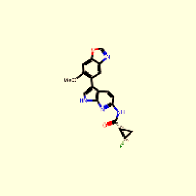 COc1cc2ocnc2cc1-c1c[nH]c2nc(NC(=O)[C@@H]3C[C@@H]3F)ccc12